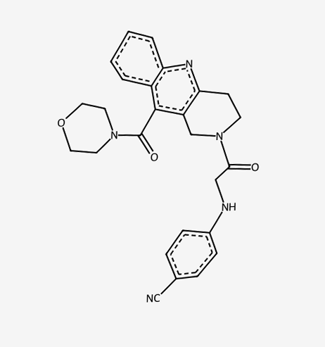 N#Cc1ccc(NCC(=O)N2CCc3nc4ccccc4c(C(=O)N4CCOCC4)c3C2)cc1